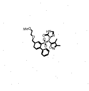 COCCOCC1C=C(S(=O)(=O)N(c2onc(C)c2C)n2nc[nH]c2=O)C(c2ccccc2)=CC1